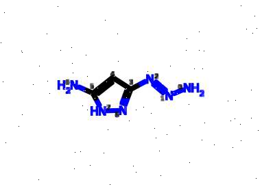 NN=Nc1cc(N)[nH]n1